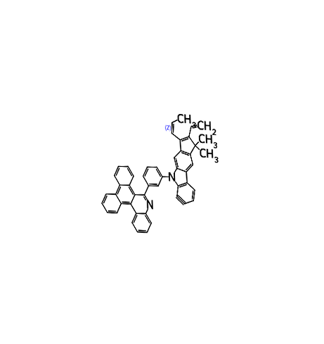 C=CC1=C(/C=C\C)c2cc3c(cc2C1(C)C)c1ccc#cc1n3-c1cccc(-c2nc3ccccc3c3c4ccccc4c4ccccc4c23)c1